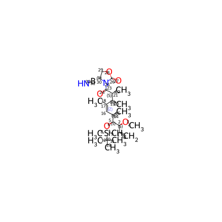 C=C[C@H](OC)[C@@H](O[Si](C)(C)C(C)(C)C)[C@H](C)/C=C(/C)[C@H](C)[C@H](C)C(=O)N1C(=O)OC[C@H]1B=N